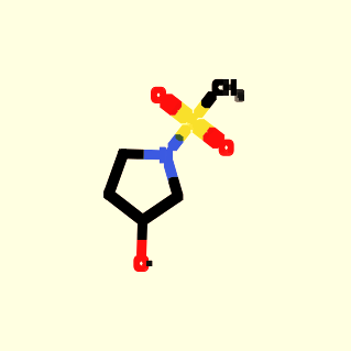 CS(=O)(=O)N1CCC([O])C1